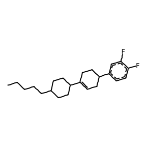 CCCCCC1CCC(C2=CCC(c3ccc(F)c(F)c3)CC2)CC1